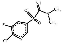 CN(C)C(=N)S(=O)(=O)c1cnc(Cl)c(F)c1